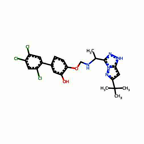 CC(NCOc1ccc(-c2cc(Cl)c(Cl)cc2Cl)cc1O)c1n[nH]c2cc(C(C)(C)C)nn12